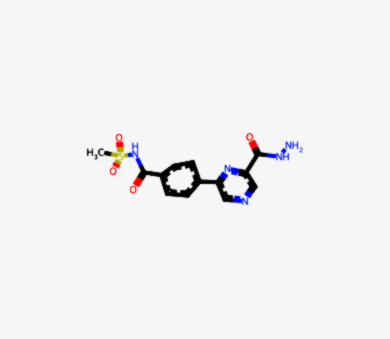 CS(=O)(=O)NC(=O)c1ccc(-c2cncc(C(=O)NN)n2)cc1